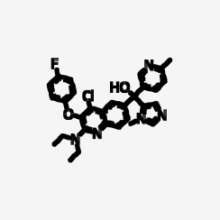 CCN(CC)c1nc2ccc(C(O)(c3ccc(C)nc3)c3cncn3C)cc2c(Cl)c1Oc1ccc(F)cc1